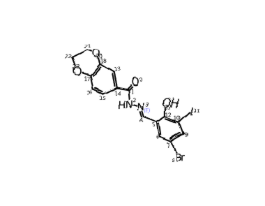 O=C(N/N=C/c1cc(Br)cc(I)c1O)c1ccc2c(c1)OCCO2